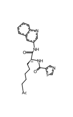 CC(=O)CCCCC[C@H](NC(=O)c1cncs1)C(=O)Nc1cnc2ccccc2c1